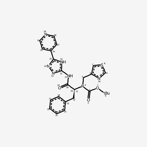 CC(C)(C)OC(=O)N(Cc1cscn1)[C@@H](Cc1ccccc1)C(=O)Nc1nnc(-c2ccncc2)[nH]1